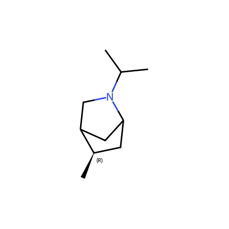 CC(C)N1CC2CC1C[C@H]2C